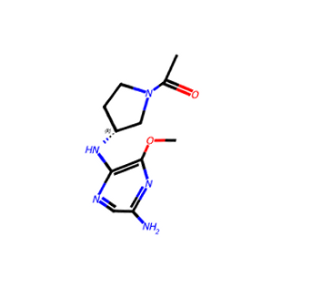 COc1nc(N)cnc1N[C@@H]1CCN(C(C)=O)C1